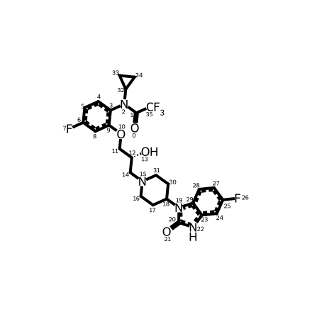 O=C(N(c1ccc(F)cc1OC[C@H](O)CN1CCC(n2c(=O)[nH]c3cc(F)ccc32)CC1)C1CC1)C(F)(F)F